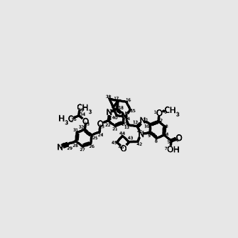 COc1cc(C(=O)O)cc2c1nc(CN1CCC3(c4nccc(OCc5ccc(C#N)cc5OC(C)C)n4)CC3C1)n2CC1CCO1